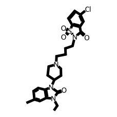 CCn1c(=O)n(C2CCN(CCCCN3C(=O)c4cc(Cl)ccc4S3(=O)=O)CC2)c2ccc(C)cc21